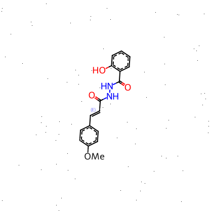 COc1ccc(/C=C/C(=O)NNC(=O)c2ccccc2O)cc1